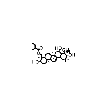 C/C=C(\C)C(=O)OC[C@]1(C)C2CC[C@]3(C)C(CC=C4C5CC(C)(C)[C@@H](O)[C@H](O)[C@]5(CO)[C@H](O)C[C@]43C)[C@@]2(C)CC[C@@H]1O